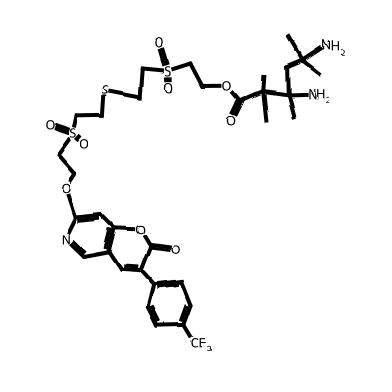 CC(C)(N)CC(C)(N)C(C)(C)C(=O)OCCS(=O)(=O)CCSCCS(=O)(=O)CCOc1cc2oc(=O)c(-c3ccc(C(F)(F)F)cc3)cc2cn1